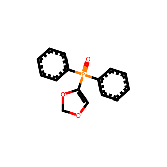 O=P(C1=COCO1)(c1ccccc1)c1ccccc1